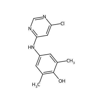 Cc1cc(Nc2cc(Cl)ncn2)cc(C)c1O